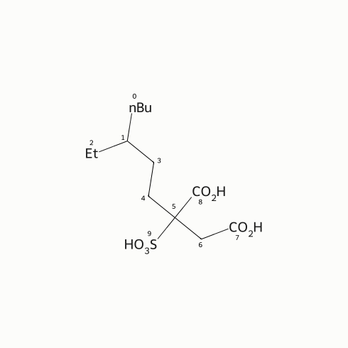 CCCCC(CC)CCC(CC(=O)O)(C(=O)O)S(=O)(=O)O